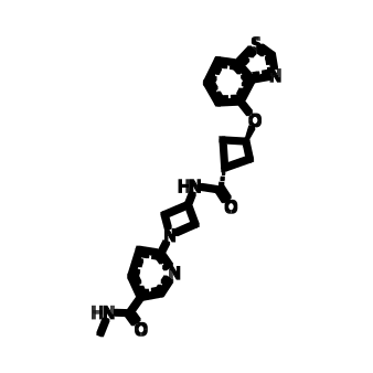 CNC(=O)c1ccc(N2CC(NC(=O)[C@H]3C[C@H](Oc4cccc5scnc45)C3)C2)nc1